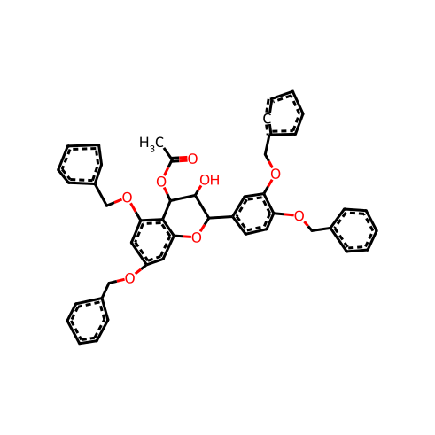 CC(=O)OC1c2c(OCc3ccccc3)cc(OCc3ccccc3)cc2OC(c2ccc(OCc3ccccc3)c(OCc3ccccc3)c2)C1O